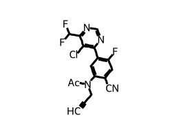 C#CCN(C(C)=O)c1cc(-c2ncnc(C(F)F)c2Cl)c(F)cc1C#N